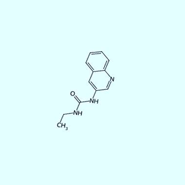 CCNC(=O)Nc1cnc2ccccc2c1